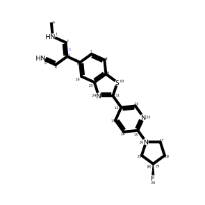 CN/C=C(\C=N)c1ccc2sc(-c3ccc(N4CC[C@@H](F)C4)nc3)nc2c1